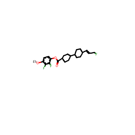 CCOc1ccc(OC(=O)C2CCC(C3CCC(/C=C/CF)CC3)CC2)c(F)c1F